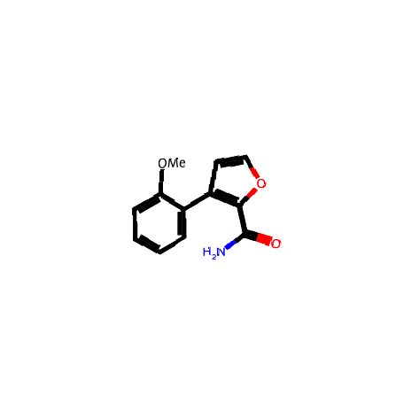 COc1ccccc1-c1ccoc1C(N)=O